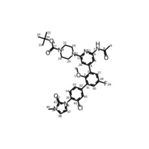 COc1c(-c2cc(NC(C)=O)nc(N3CCN(C(=O)OC(C)(C)C)CC3)c2)cc(F)cc1-c1ccc(-n2ccn(C)c2=O)c(Cl)c1